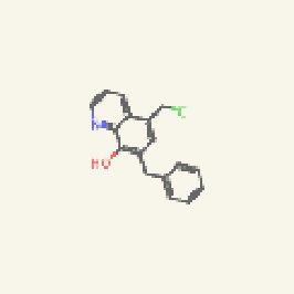 Oc1c(Cc2ccccc2)cc(CCl)c2cccnc12